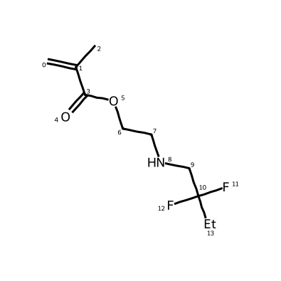 C=C(C)C(=O)OCCNCC(F)(F)CC